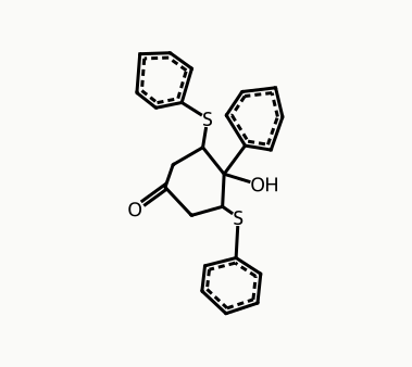 O=C1CC(Sc2ccccc2)C(O)(c2ccccc2)C(Sc2ccccc2)C1